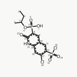 CCC(C)OP(=O)(O)c1cc2cc(S(=O)(=O)Cl)c(Cl)cc2[nH]c1=O